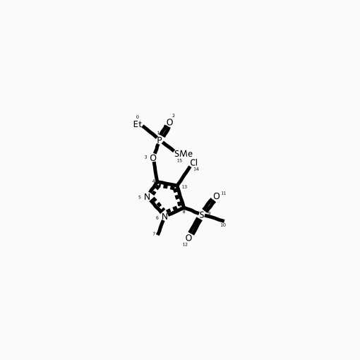 CCP(=O)(Oc1nn(C)c(S(C)(=O)=O)c1Cl)SC